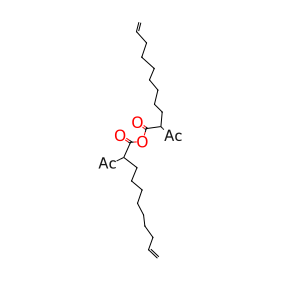 C=CCCCCCCCC(C(C)=O)C(=O)OC(=O)C(CCCCCCCC=C)C(C)=O